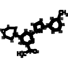 CC(=O)c1nc(N2CCOCC2)cc(-n2ccc(-c3cccc(C)c3)n2)n1